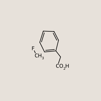 CF.O=C(O)Cc1ccccc1